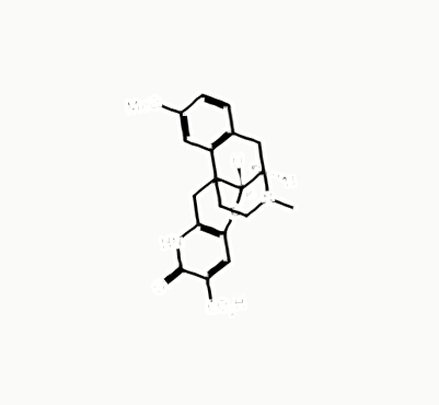 COc1ccc2c(c1)C13CCN(C)[C@H](C2)[C@@H]1Cc1cc(C(=O)O)c(=O)[nH]c1C3